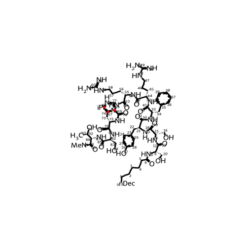 CCCCCCCCCCCCCCCC(=O)N[C@@H](CO)C(=O)N[C@@H](CO)C(=O)N[C@@H](Cc1ccc(O)cc1)C(=O)N[C@@H](Cc1ccccc1)C(=O)N[C@@H](CCCNC(=N)N)C(=O)N[C@@H](CCCNC(=N)N)C(=O)N[C@@H](CC(C)C)C(=O)N[C@@H](Cc1c[nH]cn1)C(=O)N[C@@H](CO)C(=O)N[C@H](C(=O)NC)[C@@H](C)O